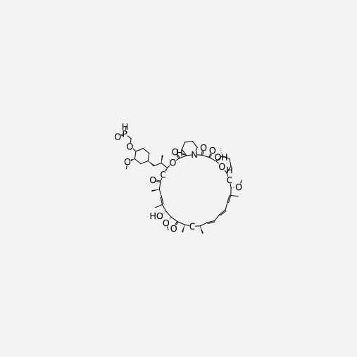 CO[C@H]1C[C@@H]2CC[C@@H](C)[C@@](O)(O2)C(=O)C(=O)N2CCCC[C@H]2C(=O)O[C@H]([C@H](C)C[C@@H]2CCC(OC[PH](C)=O)[C@H](OC)C2)CC(=O)[C@H](C)/C=C(\C)[C@@H](O)[C@@H](OC)C(=O)[C@H](C)C[C@H](C)/C=C/C=C/C=C/1C